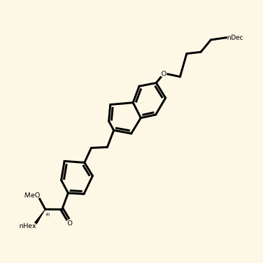 CCCCCCCCCCCCCCOc1ccc2cc(CCc3ccc(C(=O)[C@@H](CCCCCC)OC)cc3)ccc2c1